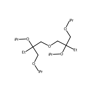 CCC(COCC(CC)(COC(C)C)OC(C)C)(COC(C)C)OC(C)C